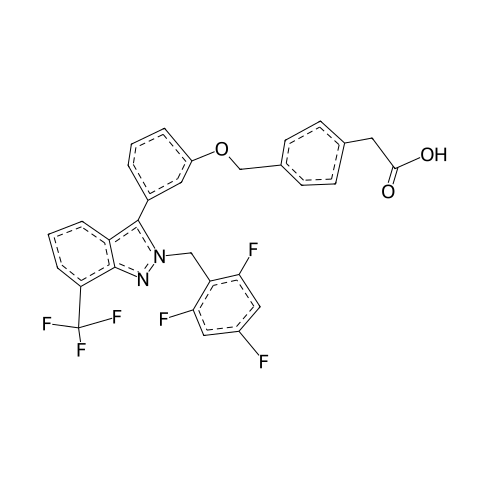 O=C(O)Cc1ccc(COc2cccc(-c3c4cccc(C(F)(F)F)c4nn3Cc3c(F)cc(F)cc3F)c2)cc1